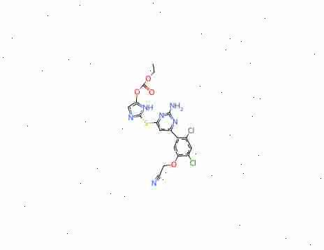 CCOC(=O)Oc1cnc(Sc2cc(-c3cc(OCC#N)c(Cl)cc3Cl)nc(N)n2)[nH]1